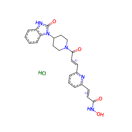 Cl.O=C(/C=C/c1cccc(/C=C/C(=O)N2CCC(n3c(=O)[nH]c4ccccc43)CC2)n1)NO